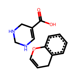 C1=COc2ccccc2C1.O=C(O)C1=CNCNC1